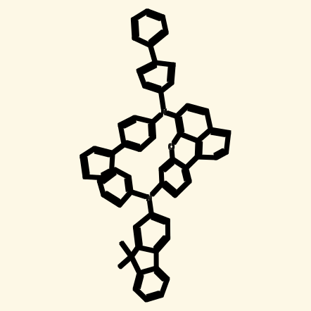 CC1(C)c2ccccc2-c2ccc(N(c3ccccc3)c3ccc4c(c3)Oc3c(N(c5ccc(-c6ccccc6)cc5)c5ccc(-c6ccccc6)cc5)ccc5cccc-4c35)cc21